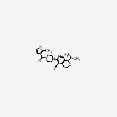 Cc1occc1C(=O)N1CCN(c2ncc3c(c2C#N)CCOC3C(C)C)CC1